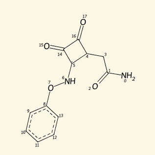 NC(=O)CC1[C](NOc2ccccc2)C(=O)C1=O